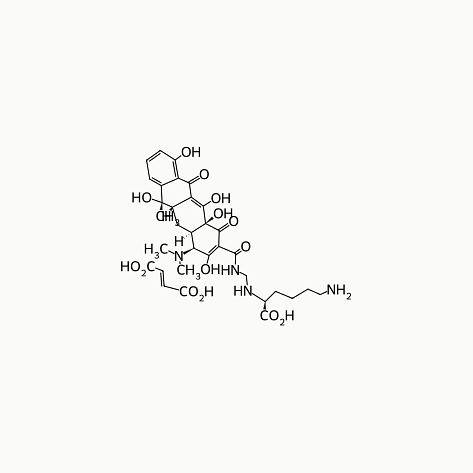 CN(C)[C@@H]1C(O)=C(C(=O)NCN[C@@H](CCCCN)C(=O)O)C(=O)[C@@]2(O)C(O)=C3C(=O)c4c(O)cccc4[C@@](C)(O)[C@H]3C[C@H]12.O=C(O)C=CC(=O)O